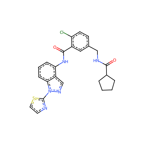 O=C(Nc1cccc2c1cnn2-c1nccs1)c1cc(CNC(=O)C2CCCC2)ccc1Cl